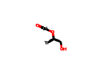 [O]=[Al][O][CH]([Ti])CO